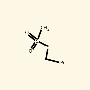 CC(C)CSS(C)(=O)=O